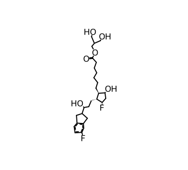 O=C(CCCCCC[C@@H]1[C@@H](CC[C@H](O)C2Cc3ccc(F)cc3C2)[C@@H](F)C[C@@H]1O)OCC(CO)CO